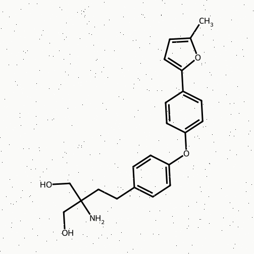 Cc1ccc(-c2ccc(Oc3ccc(CCC(N)(CO)CO)cc3)cc2)o1